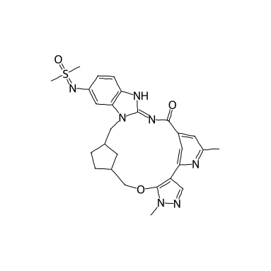 Cc1cc2cc(n1)-c1cnn(C)c1OCC1CCC(C1)CN1/C(=N/C2=O)Nc2ccc(N=S(C)(C)=O)cc21